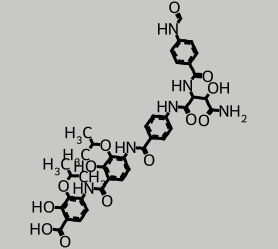 CC(C)Oc1c(NC(=O)c2ccc(NC(=O)c3ccc(NC(=O)C(NC(=O)c4ccc(NC=O)cc4)C(O)C(N)=O)cc3)c(OC(C)C)c2O)ccc(C(=O)O)c1O